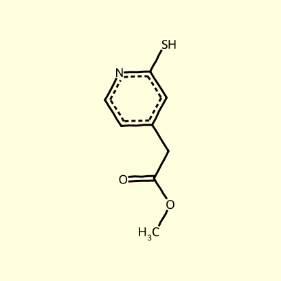 COC(=O)Cc1ccnc(S)c1